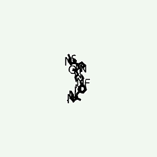 Cc1ncc(C2CC=NN2C(=O)N2CCN(c3nc(-c4c(C)cnn4C)ccc3F)CC2)s1